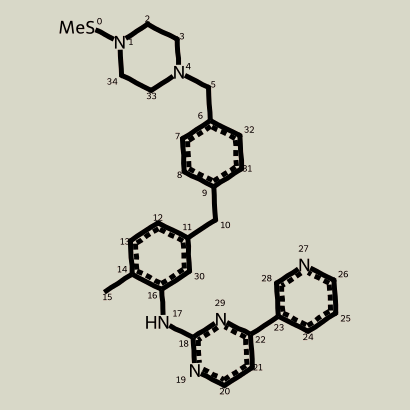 CSN1CCN(Cc2ccc(Cc3ccc(C)c(Nc4nccc(-c5cccnc5)n4)c3)cc2)CC1